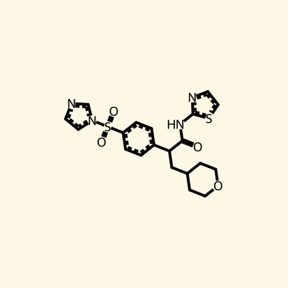 O=C(Nc1nccs1)C(CC1CCOCC1)c1ccc(S(=O)(=O)n2ccnc2)cc1